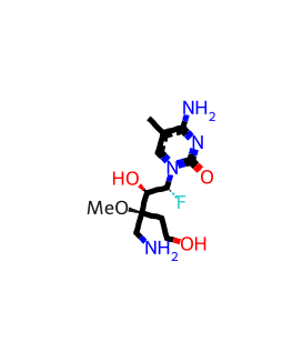 CO[C@](CN)(CCO)[C@@H](O)[C@@H](F)n1cc(C)c(N)nc1=O